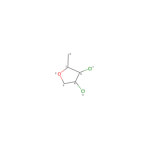 CC1OCC(Cl)C1Cl